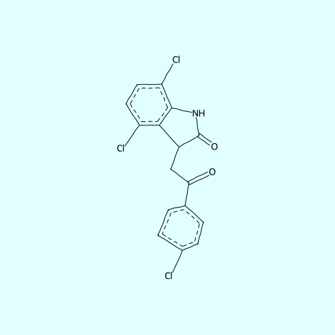 O=C(CC1C(=O)Nc2c(Cl)ccc(Cl)c21)c1ccc(Cl)cc1